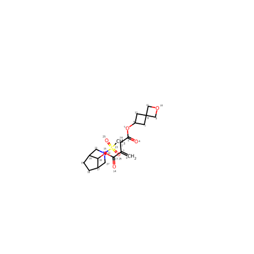 C=C(CC(=O)OC1CC2(COC2)C1)C(=O)OC1C2CCC1CN(S(C)(=O)=O)C2